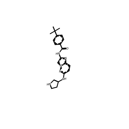 CC(C)(C)c1ccc(C(=O)Nc2cn3nc(NC4CCNC4)ccc3n2)cc1